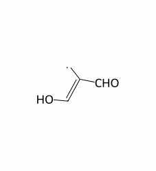 [CH2]C(C=O)=CO